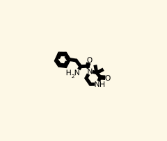 CC1(C)C(=O)NCCN1C(=O)C(N)Cc1ccccc1